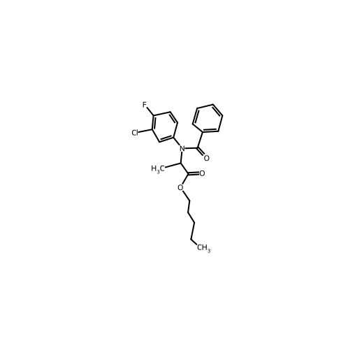 CCCCCOC(=O)C(C)N(C(=O)c1ccccc1)c1ccc(F)c(Cl)c1